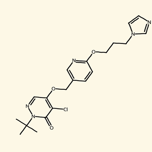 CC(C)(C)n1ncc(OCc2ccc(OCCCn3ccnc3)nc2)c(Cl)c1=O